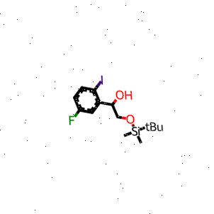 CC(C)(C)[Si](C)(C)OCC(O)c1cc(F)ccc1I